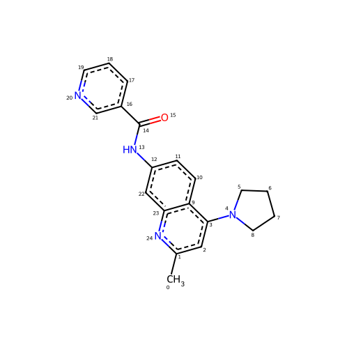 Cc1cc(N2CCCC2)c2ccc(NC(=O)c3cccnc3)cc2n1